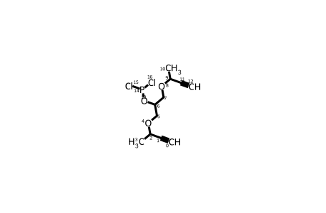 C#CC(C)OCC(COC(C)C#C)OP(Cl)Cl